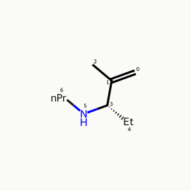 C=C(C)[C@H](CC)NCCC